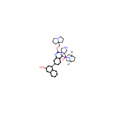 O=C([C@H]1CCNC1)N1[C@@H]2CC[C@H]1CN(c1nc(OCC34CCCN3CCC4)nc3cc(-c4cc(O)cc5ccccc45)ccc13)C2